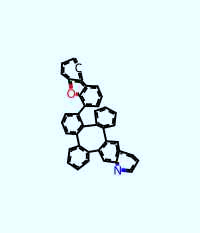 c1ccc2c(c1)-c1cc3ncccc3cc1-c1ccccc1-c1c-2cccc1-c1cccc2c1oc1ccccc12